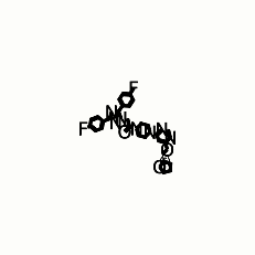 O=C(Cn1nc(-c2ccc(F)cc2)nc1-c1ccc(F)cc1)N1CCN(c2cc(OC[C@@H]3CCCO3)ncn2)CC1